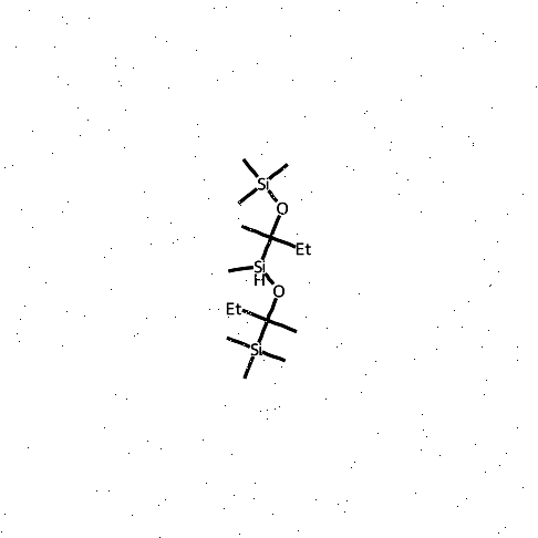 CCC(C)(O[Si](C)(C)C)[SiH](C)OC(C)(CC)[Si](C)(C)C